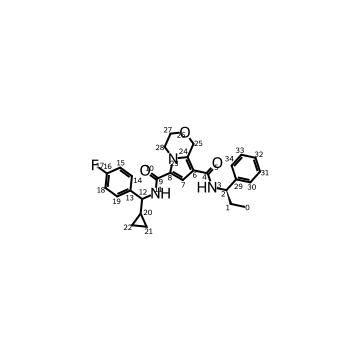 CC[C@@H](NC(=O)c1cc(C(=O)NC(c2ccc(F)cc2)C2CC2)n2c1COCC2)c1ccccc1